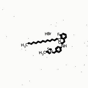 Br.CCCCCCCCCCCCCCOc1c(F)cccc1CC(=O)Nc1ccc(CN2C=C(C)SC2)cc1